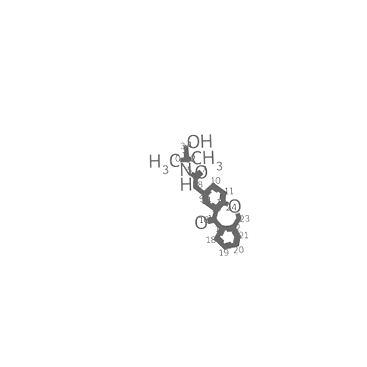 CC(C)(CO)NC(=O)Cc1ccc2c(c1)C(=O)c1ccccc1CO2